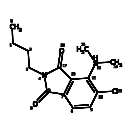 CCCCN1C(=O)c2ccc(Cl)c([SiH](C)C)c2C1=O